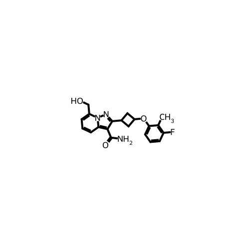 Cc1c(F)cccc1OC1CC(c2nn3c(CO)cccc3c2C(N)=O)C1